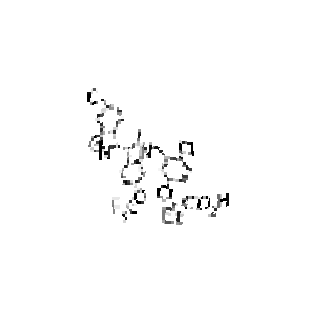 CC[C@@H](Oc1ccc(Cl)c(Cn2c(C)c(-c3noc4cc(Cl)ccc34)c3ccc(OC(F)(F)F)cc32)c1)C(=O)O